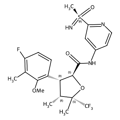 COc1c([C@@H]2[C@@H](C(=O)Nc3ccnc([S@](C)(=N)=O)c3)O[C@](C)(C(F)(F)F)[C@@H]2C)ccc(F)c1C